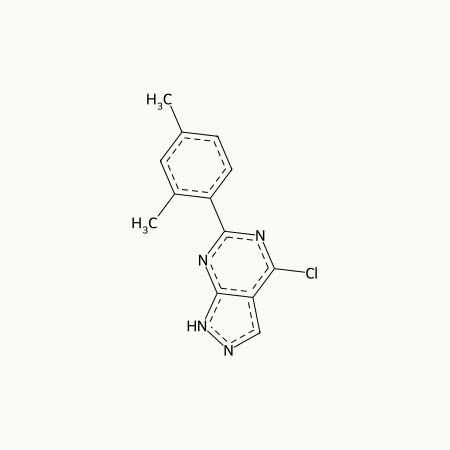 Cc1ccc(-c2nc(Cl)c3cn[nH]c3n2)c(C)c1